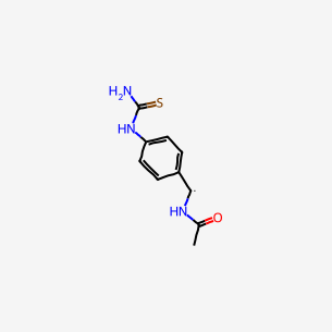 CC(=O)N[CH]c1ccc(NC(N)=S)cc1